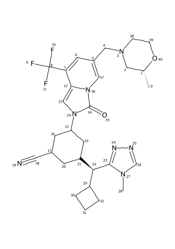 C[C@@H]1CN(Cc2cc(C(F)(F)F)c3cn(C4CC(C#N)CC([C@@H](c5nncn5C)C5CCC5)C4)c(=O)n3c2)CCO1